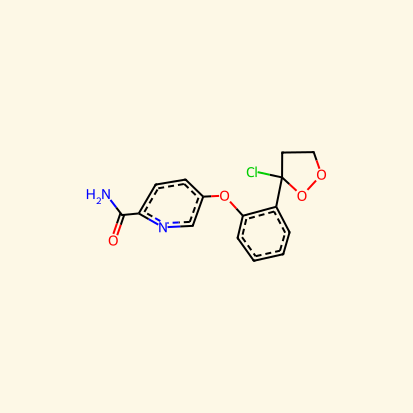 NC(=O)c1ccc(Oc2ccccc2C2(Cl)CCOO2)cn1